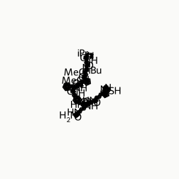 CCC(C)C(C(CC(=O)N1CCCC1C(OC)C(C)C(=O)NC(Cc1ccccc1)C(=O)NCc1ccc(NC(=O)C(CCCNC(N)=O)NC(=O)CNC(=O)CCCn2ccc3c(S)ncnc32)cc1)OC)N(C)C(=O)CNC(=O)C(C(C)C)N(C)C